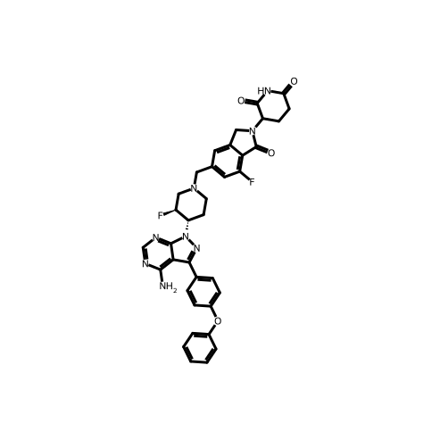 Nc1ncnc2c1c(-c1ccc(Oc3ccccc3)cc1)nn2[C@H]1CCN(Cc2cc(F)c3c(c2)CN(C2CCC(=O)NC2=O)C3=O)C[C@@H]1F